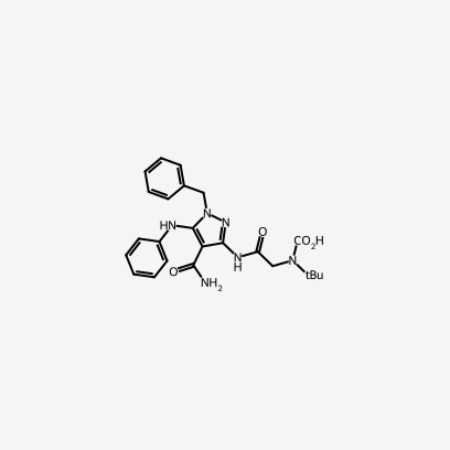 CC(C)(C)N(CC(=O)Nc1nn(Cc2ccccc2)c(Nc2ccccc2)c1C(N)=O)C(=O)O